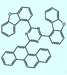 c1ccc2c(c1)cc(-c1nc(-c3cccc4oc5ccccc5c34)nc(-c3cccc4oc5ccccc5c34)n1)c1c3ccccc3ccc21